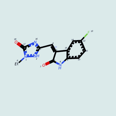 CCn1[nH]c(/C=C2\C(=O)Nc3ccc(F)cc32)nc1=O